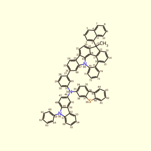 CC1(c2cccc3ccccc23)c2cccc3c2-c2c1ccc1c4ccc(-c5cccc(N(c6ccc7c(c6)sc6ccccc67)c6ccc7c(c6)c6ccccc6n7-c6ccccc6)c5)cc4n(c21)-c1ccccc1-3